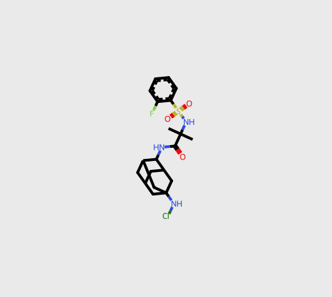 CC(C)(NS(=O)(=O)c1ccccc1F)C(=O)NC1C2CC3CC1CC(NCl)(C3)C2